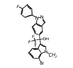 Cn1cc(C(O)(c2ccc3c(cnn3-c3ccc(F)cc3)c2)C(F)(F)F)c2cccc(Br)c21